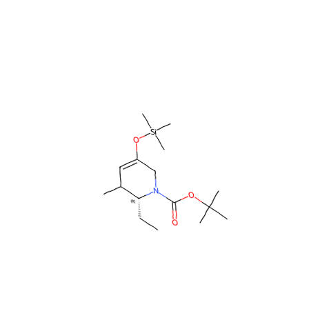 CC[C@@H]1C(C)C=C(O[Si](C)(C)C)CN1C(=O)OC(C)(C)C